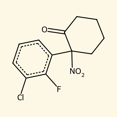 O=C1CCCCC1(c1cccc(Cl)c1F)[N+](=O)[O-]